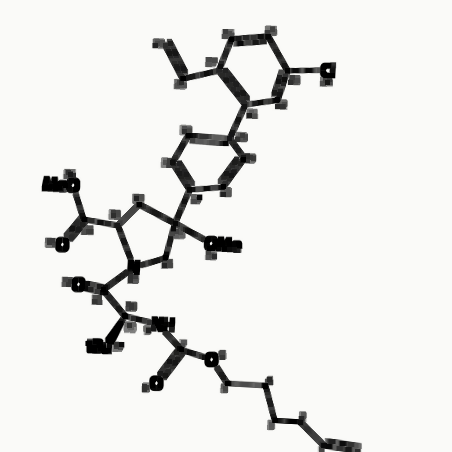 C=CCCCCOC(=O)N[C@H](C(=O)N1CC(OC)(c2ccc(-c3cc(Cl)ccc3C=C)cc2)CC1C(=O)OC)C(C)(C)C